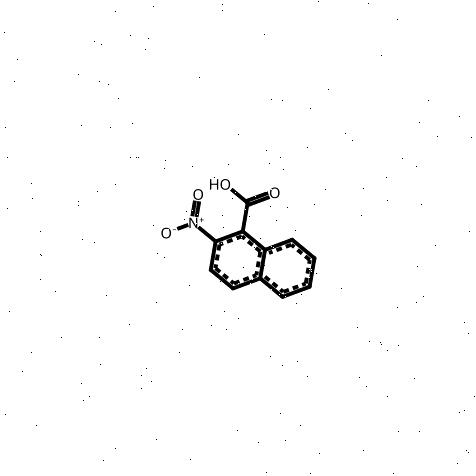 O=C(O)c1c([N+](=O)[O-])ccc2ccccc12